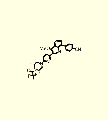 COc1c(-c2ccc(N3C[C@@H](C)N(C(=O)C(C)(F)F)[C@@H](C)C3)nc2)cnc2c(-c3ccc(C#N)cc3)cccc12